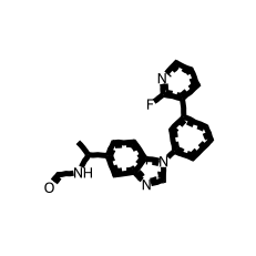 CC(NC=O)c1ccc2c(c1)ncn2-c1cccc(-c2cccnc2F)c1